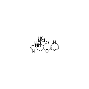 Cl.Cl.O=C(O)C(Cc1ncc[nH]1)Oc1cccnc1